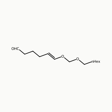 CCCCCCCOCOC=CCCCC=O